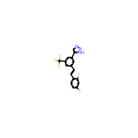 Fc1ccc(/C=C/c2cc(-c3cnn[nH]3)cc(C(F)(F)F)c2)c(F)c1